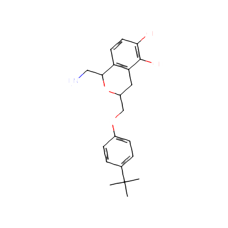 CC(C)(C)c1ccc(OCC2Cc3c(ccc(O)c3O)C(CN)O2)cc1